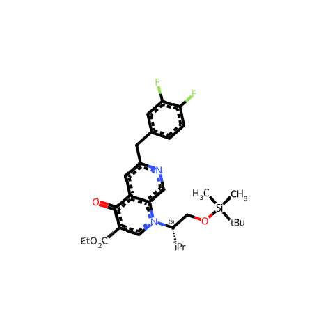 CCOC(=O)c1cn([C@H](CO[Si](C)(C)C(C)(C)C)C(C)C)c2cnc(Cc3ccc(F)c(F)c3)cc2c1=O